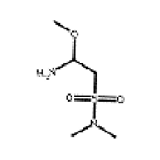 COC(N)CS(=O)(=O)N(C)C